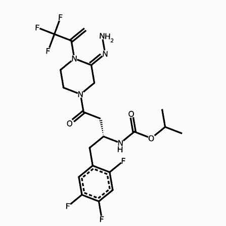 C=C(N1CCN(C(=O)C[C@@H](Cc2cc(F)c(F)cc2F)NC(=O)OC(C)C)C/C1=N/N)C(F)(F)F